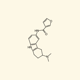 CN(C)C1CCc2[nH]c3ccc(NC(=O)c4ccoc4)cc3c2C1